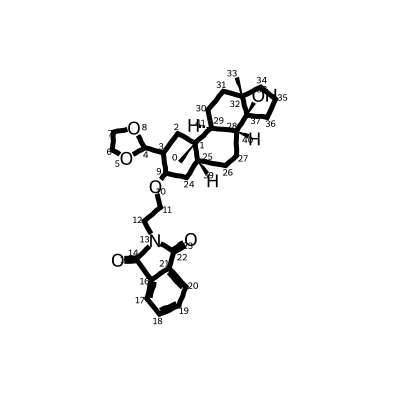 C[C@]12CC(C3OCCO3)C(OCCN3C(=O)c4ccccc4C3=O)C[C@H]1CC[C@@H]1[C@@H]2CC[C@]2(C)CCC[C@]12O